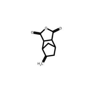 C=C1CC2CC1C1C(=O)OC(=O)C21